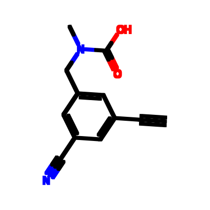 C#Cc1cc(C#N)cc(CN(C)C(=O)O)c1